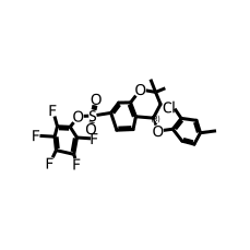 Cc1ccc(O[C@@H]2CC(C)(C)Oc3cc(S(=O)(=O)Oc4c(F)c(F)c(F)c(F)c4F)ccc32)c(Cl)c1